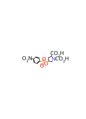 O=C(O)[C@@H]1C[C@H](OS(=O)(=O)c2ccc([N+](=O)[O-])cc2)CN1C(=O)O